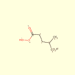 CC(CCC(=O)OO)C(=O)O